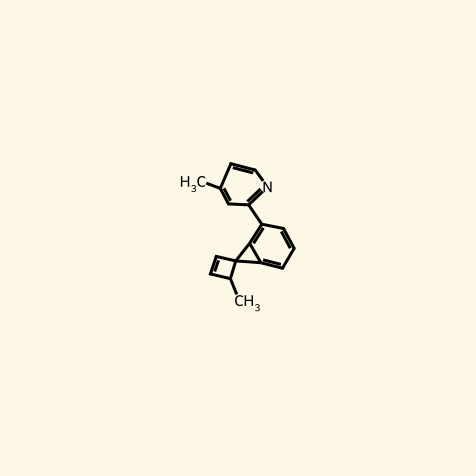 Cc1ccnc(-c2cccc3c2C32C=CC2C)c1